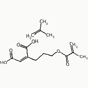 C=C(C)C.C=C(C)C(=O)OCCC/C(=C/C(=O)O)C(=O)O